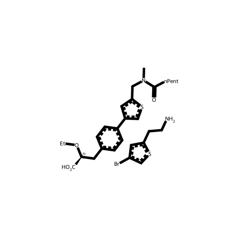 CCCCCC(=O)N(C)Cc1cc(-c2ccc(C[C@H](OCC)C(=O)O)cc2)cs1.NCCc1cc(Br)cs1